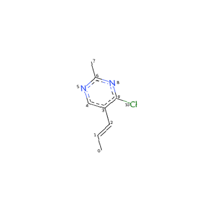 CC=Cc1cnc(C)nc1Cl